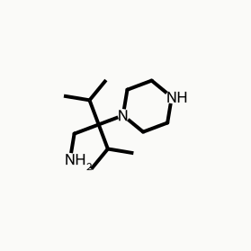 CC(C)C(CN)(C(C)C)N1CCNCC1